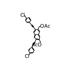 CC(=O)OCc1cc2cc(COC(C)=O)c(C#Cc3ccc(Cl)cc3)cc2cc1C#Cc1ccc(Cl)cc1